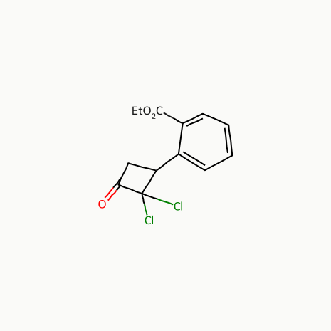 CCOC(=O)c1ccccc1C1CC(=O)C1(Cl)Cl